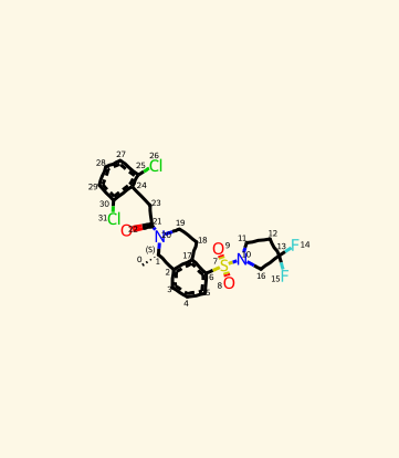 C[C@H]1c2cccc(S(=O)(=O)N3CCC(F)(F)C3)c2CCN1C(=O)Cc1c(Cl)cccc1Cl